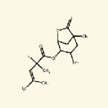 CCCC1CC2(C#N)CC(OC2=O)C1OC(=O)C(C)(C=C(C)C)C(C)C